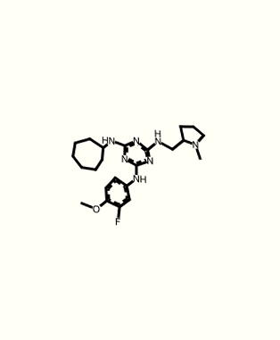 COc1ccc(Nc2nc(NCC3CCCN3C)nc(NC3CCCCCC3)n2)cc1F